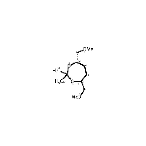 COC[C@@H]1CC[C@@H](COC)OC(C)(C)O1